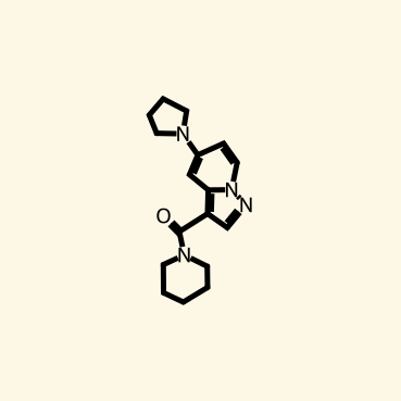 O=C(c1cnn2ccc(N3CCCC3)cc12)N1CCCCC1